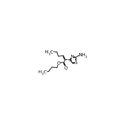 CCCC=C(C(=O)OCCCC)c1csc(N)n1